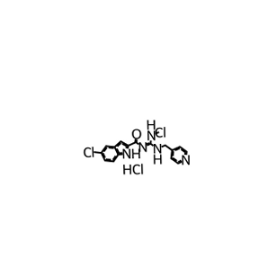 Cl.O=C(N=C(NCl)NCc1ccncc1)c1cc2cc(Cl)ccc2[nH]1